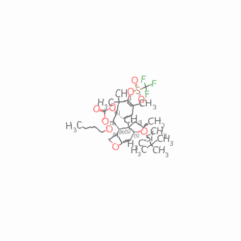 C=CC[C@]1(C)[C@@H](O[Si](C)(C)C(C)(C)C)C=C2OC[C@@]2(OCCCC)[C@H]1[C@@H]1OC(=O)O[C@]12CCC(C)=C(OS(=O)(=O)C(F)(F)F)C2(C)C